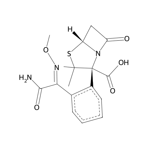 CON=C(C(N)=O)c1ccccc1[C@]1(C(=O)O)N2C(=O)C[C@H]2SC1(C)C